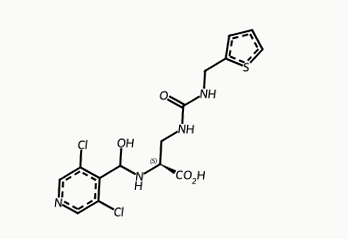 O=C(NCc1cccs1)NC[C@H](NC(O)c1c(Cl)cncc1Cl)C(=O)O